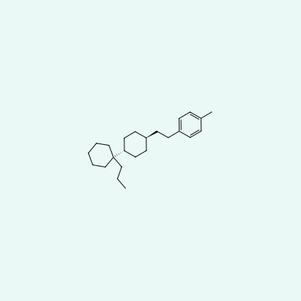 CCCC1([C@H]2CC[C@H](CCc3ccc(C)cc3)CC2)CCCCC1